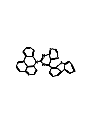 c1ccc2c(c1)-c1cccc3cccc(c13)N2c1nc(-c2cccc3c2sc2ccccc23)c2ccccc2n1